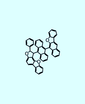 c1ccc(C2Oc3ccc4c(oc5ccccc54)c3C2c2c3ccccc3c(-c3c4ccccc4cc4c3oc3ccccc34)c3ccccc23)cc1